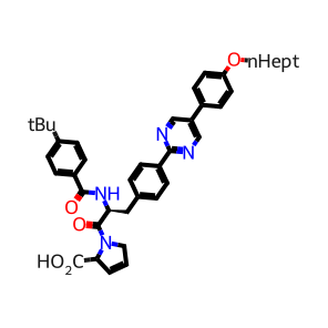 CCCCCCCOc1ccc(-c2cnc(-c3ccc(C[C@H](NC(=O)c4ccc(C(C)(C)C)cc4)C(=O)N4CC=CC4C(=O)O)cc3)nc2)cc1